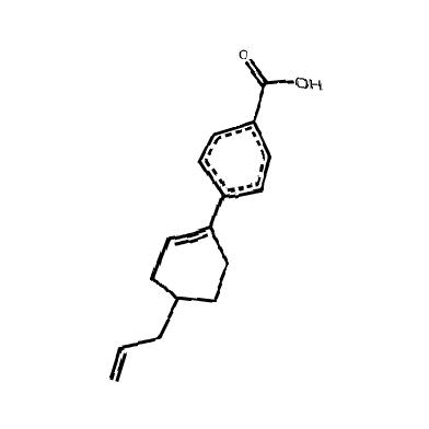 C=CCC1CC=C(c2ccc(C(=O)O)cc2)CC1